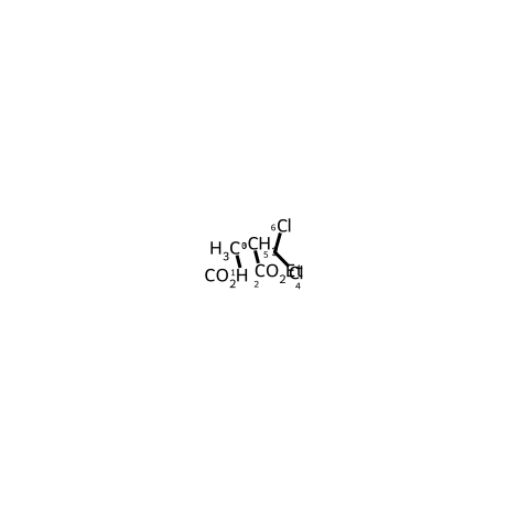 CC(=O)O.CCOC(C)=O.ClCCl